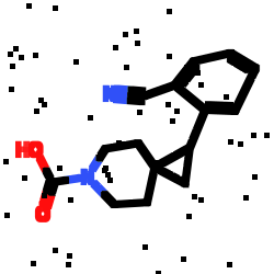 N#Cc1ccccc1C1CC12CCN(C(=O)O)CC2